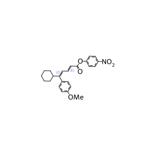 COc1ccc(/C(=C\C=C\C(=O)Oc2ccc([N+](=O)[O-])cc2)C2CCCCC2)cc1